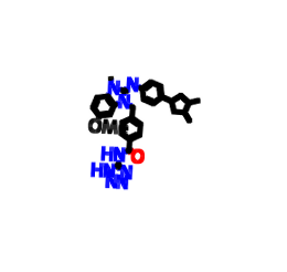 COc1ccc2c(c1)n(Cc1ccc(C(=O)Nc3nnn[nH]3)cc1)c(=Nc1ccc(C3CC(C)C(C)C3)cc1)n2C